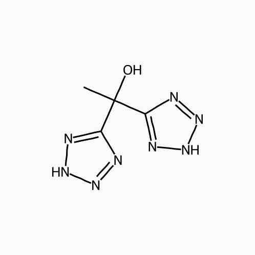 CC(O)(c1nn[nH]n1)c1nn[nH]n1